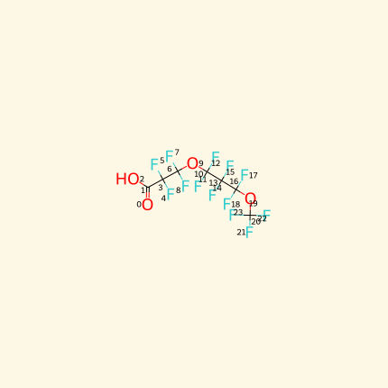 O=C(O)C(F)(F)C(F)(F)OC(F)(F)C(F)(F)C(F)(F)OC(F)(F)F